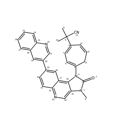 Cn1c(=O)n(C2=CC=C(C(C)(C)C#N)C=CC2)c2c3cc(-c4cnc5ccccc5c4)ccc3ncc21